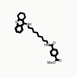 COC(=O)c1ccc(C(=O)NCCCCCCCCNc2c3c(nc4ccccc24)CCCC3)cc1